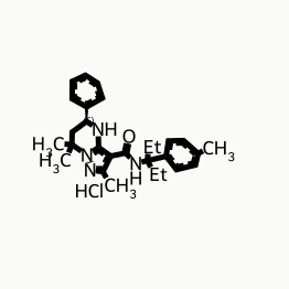 CCC(CC)(NC(=O)c1c(C)nn2c1N[C@H](c1ccccc1)CC2(C)C)c1ccc(C)cc1.Cl